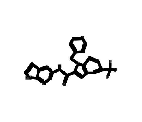 O=C(Nc1cnc2[nH]ccc2c1)c1cc2cc(C(F)(F)F)ccc2n1Cc1ccncc1